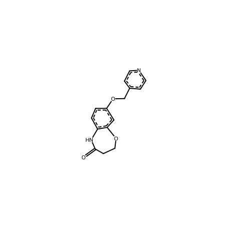 O=C1CCOc2cc(OCc3ccncc3)ccc2N1